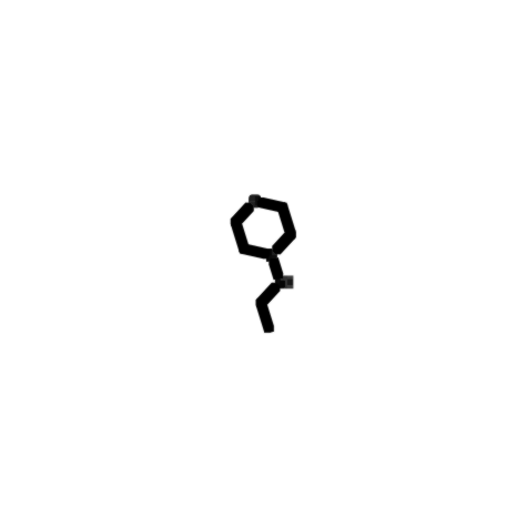 CCBN1CCOCC1